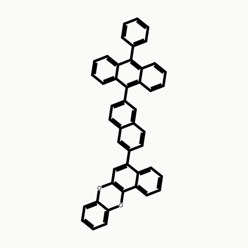 c1ccc(-c2c3ccccc3c(-c3ccc4cc(-c5cc6c(c7ccccc57)Oc5ccccc5O6)ccc4c3)c3ccccc23)cc1